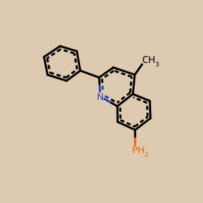 Cc1cc(-c2ccccc2)nc2cc(P)ccc12